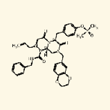 C=CCN1CC(=O)N2[C@@H](Cc3ccc(OP(C)(C)=O)cc3)C(=O)N(Cc3ccc4c(c3)OCCO4)C[C@@H]2N1C(=O)NCc1ccccc1